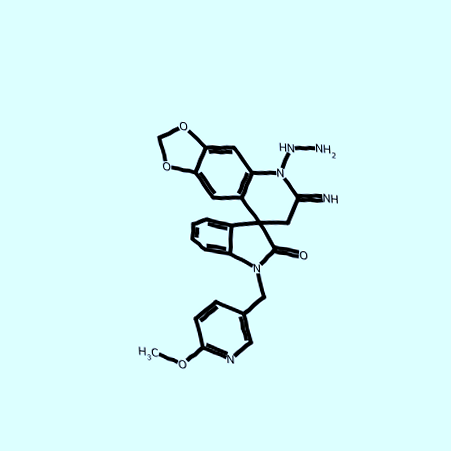 COc1ccc(CN2C(=O)C3(CC(=N)N(NN)c4cc5c(cc43)OCO5)c3ccccc32)cn1